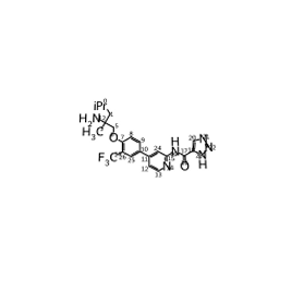 CC(C)CC(C)(N)COc1ccc(-c2ccnc(NC(=O)c3cnn[nH]3)c2)cc1C(F)(F)F